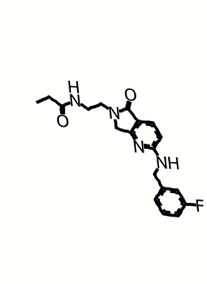 CCC(=O)NCCN1Cc2nc(NCc3cccc(F)c3)ccc2C1=O